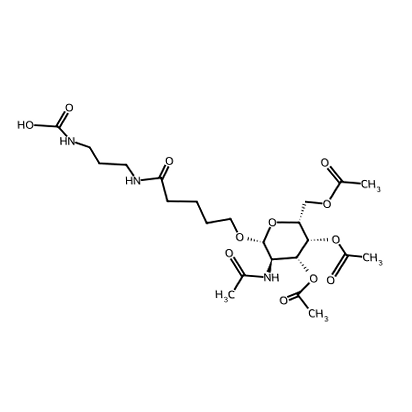 CC(=O)N[C@H]1[C@H](OCCCCC(=O)NCCCNC(=O)O)O[C@H](COC(C)=O)[C@H](OC(C)=O)[C@@H]1OC(C)=O